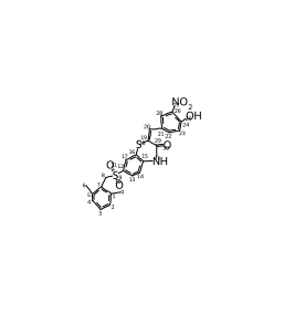 Cc1cccc(C)c1CS(=O)(=O)c1ccc2c(c1)SC(=Cc1ccc(O)c([N+](=O)[O-])c1)C(=O)N2